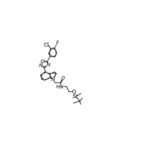 CC(C)(C)[Si](C)(C)OCCNC(=O)Cn1ccc2c(-c3noc(-c4ccc(F)c(Cl)c4)n3)cccc21